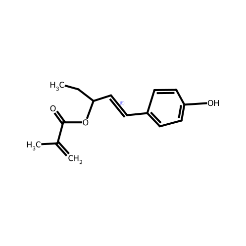 C=C(C)C(=O)OC(/C=C/c1ccc(O)cc1)CC